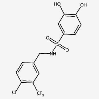 O=S(=O)(NCc1ccc(Cl)c(C(F)(F)F)c1)c1ccc(O)c(O)c1